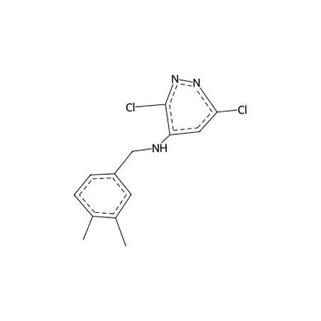 Cc1ccc(CNc2cc(Cl)nnc2Cl)cc1C